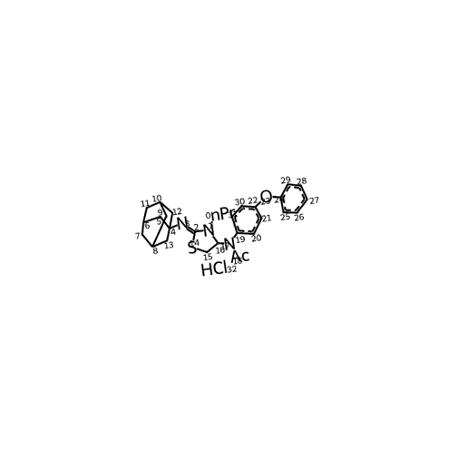 CCCN1C(=NC23CC4CC(CC(C4)C2)C3)SCC1N(C(C)=O)c1ccc(Oc2ccccc2)cc1.Cl